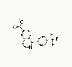 COC(=O)c1ccc2c(-c3ccc(C(F)(F)F)cc3)nccc2c1